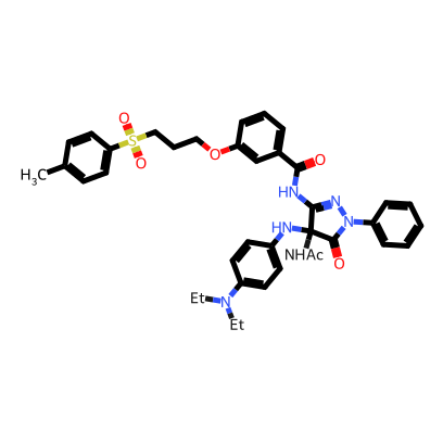 CCN(CC)c1ccc(NC2(NC(C)=O)C(=O)N(c3ccccc3)N=C2NC(=O)c2cccc(OCCCS(=O)(=O)c3ccc(C)cc3)c2)cc1